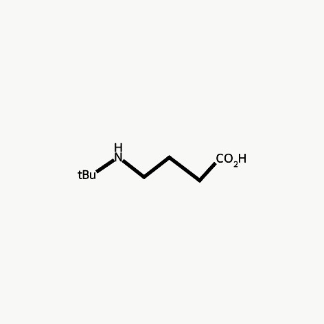 CC(C)(C)NCCCC(=O)O